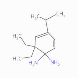 CCC1(CC)C=C(C(C)C)C=CC1(N)N